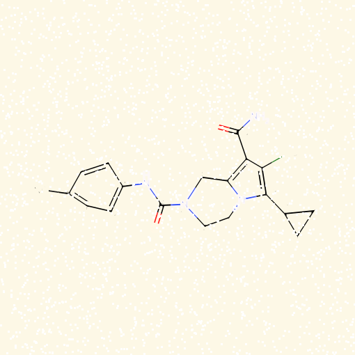 N#Cc1ccc(NC(=O)N2CCn3c(c(C(N)=O)c(Cl)c3C3CC3)C2)cc1